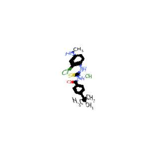 CNc1ccc(NC(=S)NC(=O)c2ccc(C(C)(C)C)cc2)c(Cl)c1.Cl